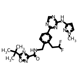 Cn1ccc(Nc2ncnc(-c3ccc(CNC(=O)c4noc(C(C)(C)C)n4)c(CC(F)F)c3)n2)n1